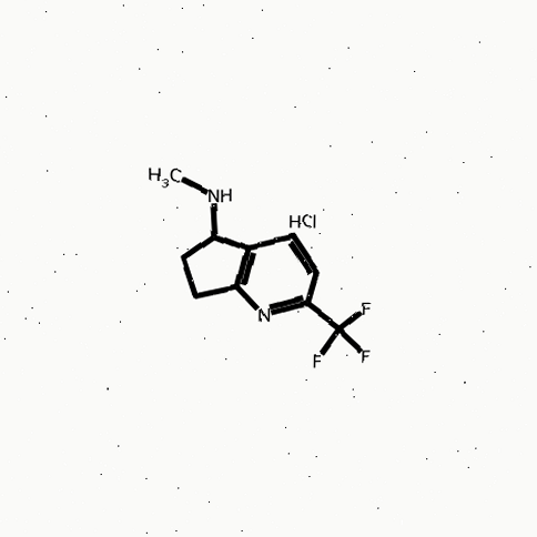 CNC1CCc2nc(C(F)(F)F)ccc21.Cl